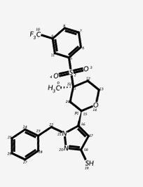 C[C@]1(S(=O)(=O)c2cccc(C(F)(F)F)c2)CCO[C@@H](c2cc(S)nn2Cc2ccccc2)C1